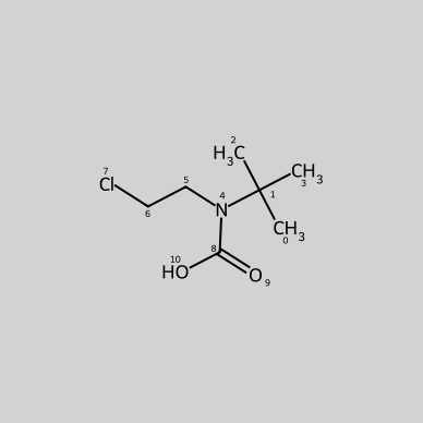 CC(C)(C)N(CCCl)C(=O)O